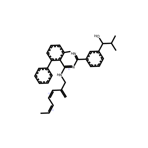 C=C(/C=C\C=C/C)CN/C(=N/C(=N)c1cccc(C(O)C(C)C)c1)c1c(C)cccc1-c1ccccc1